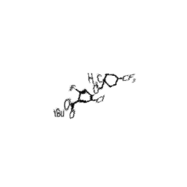 CC1(COc2cc(F)c(C(=O)OC(C)(C)C)cc2Cl)CCC(C(F)(F)F)CC1